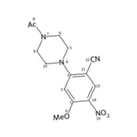 COc1cc(N2CCN(C(C)=O)CC2)c(C#N)cc1[N+](=O)[O-]